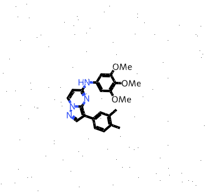 COc1cc(Nc2ccn3ncc(-c4ccc(C)c(C)c4)c3n2)cc(OC)c1OC